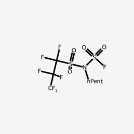 CCCCCN(S(=O)(=O)F)S(=O)(=O)C(F)(F)C(F)(F)C(F)(F)F